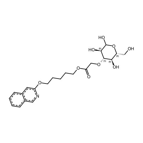 O=C(CO[C@H]1[C@H](O)[C@@H](CO)OC(O)[C@@H]1O)OCCCCCOc1cc2ccccc2cn1